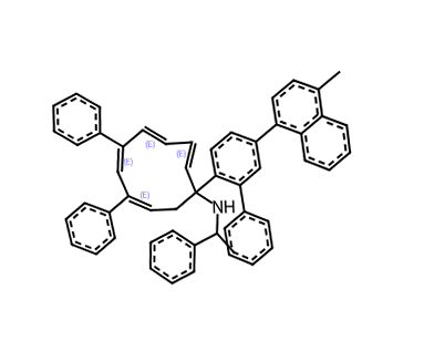 Cc1ccc(-c2ccc(C3(NC(C)c4ccccc4)/C=C/C=C/C(c4ccccc4)=C\C(c4ccccc4)=C/C3)c(-c3ccccc3)c2)c2ccccc12